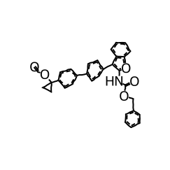 O=COC1(c2ccc(-c3ccc(-c4c(NC(=O)OCc5ccccc5)oc5ccccc45)cc3)cc2)CC1